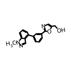 Cn1ncc2c(-c3cccc(-c4ncc(CO)o4)c3)cccc21